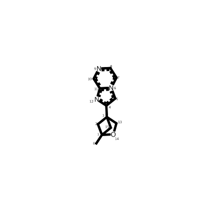 CC12CC(c3cn4ccncc4n3)(CO1)C2